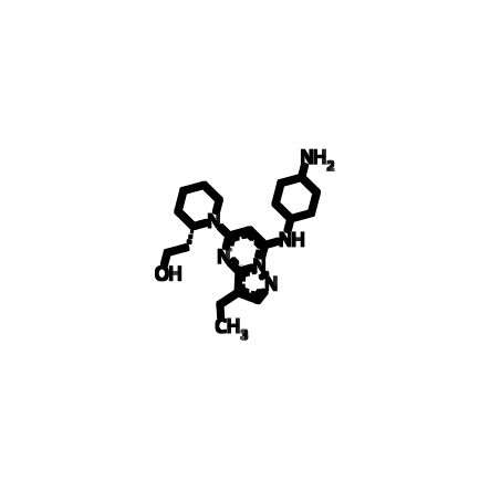 CCc1cnn2c(NC3CCC(N)CC3)cc(N3CCCC[C@H]3CCO)nc12